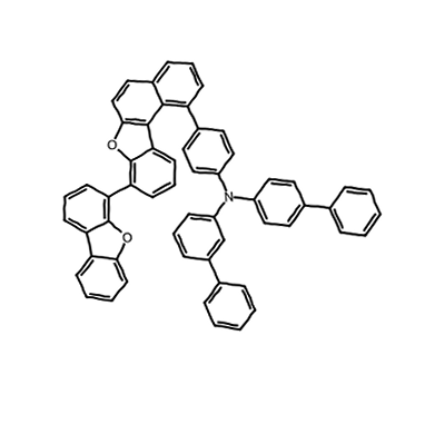 c1ccc(-c2ccc(N(c3ccc(-c4cccc5ccc6oc7c(-c8cccc9c8oc8ccccc89)cccc7c6c45)cc3)c3cccc(-c4ccccc4)c3)cc2)cc1